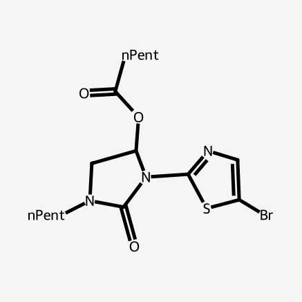 CCCCCC(=O)OC1CN(CCCCC)C(=O)N1c1ncc(Br)s1